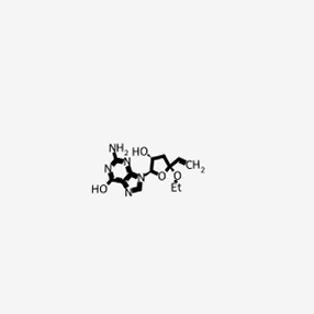 C=C[C@@]1(OCC)C[C@@H](O)[C@H](n2cnc3c(O)nc(N)nc32)O1